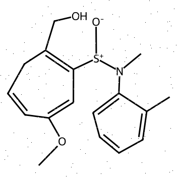 COC1=CC([S+]([O-])N(C)c2ccccc2C)=C(CO)CC=C1